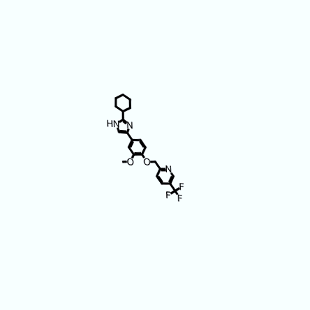 COc1cc(-c2c[nH]c(C3CCCCC3)n2)ccc1OCc1ccc(C(F)(F)F)cn1